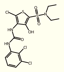 CCN(CC)S(=O)(=O)c1sc(Cl)c(NC(=O)Nc2cccc(Cl)c2Cl)c1O